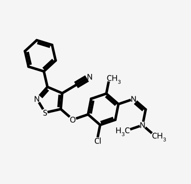 Cc1cc(Oc2snc(-c3ccccc3)c2C#N)c(Cl)cc1/N=C\N(C)C